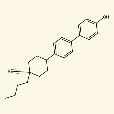 CCCCC1(C#N)CCC(c2ccc(-c3ccc(O)cc3)cc2)CC1